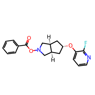 O=C(ON1C[C@H]2C[C@H](Oc3cccnc3F)C[C@H]2C1)c1ccccc1